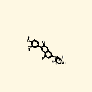 COc1ccc(C2=Cc3c(F)cc(N4C[C@@H]5C[C@H]4CN5)cc3CC2=O)cc1OC